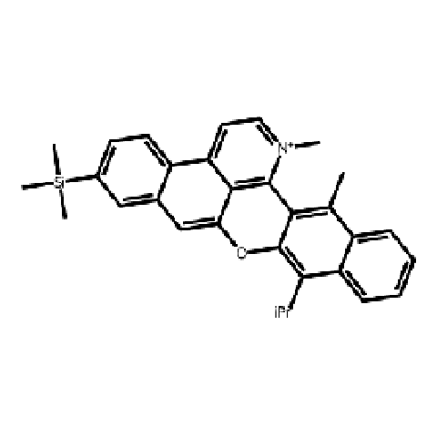 Cc1c2c(c(C(C)C)c3ccccc13)Oc1cc3cc([Si](C)(C)C)ccc3c3cc[n+](C)c-2c13